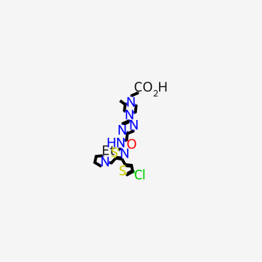 CCC1CCCN1Cc1sc(NC(=O)c2cnc(N3CCN(CCC(=O)O)C(C)C3)cn2)nc1-c1cc(Cl)cs1